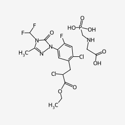 CCOC(=O)C(Cl)Cc1cc(-n2nc(C)n(C(F)F)c2=O)c(F)cc1Cl.O=C(O)CNCP(=O)(O)O